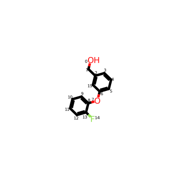 OCc1cccc(Oc2ccccc2F)c1